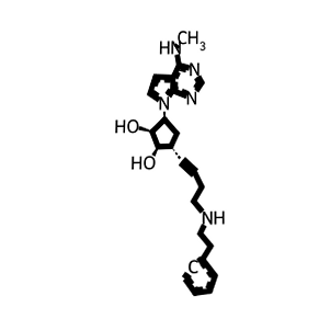 CNc1ncnc2c1ccn2[C@@H]1C[C@H](C#CCCNCCc2ccccc2)[C@@H](O)[C@H]1O